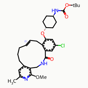 COc1nc(C)cc2c1CNC(=O)c1cc(Cl)cc(O[C@H]3CC[C@H](NC(=O)OC(C)(C)C)CC3)c1C/C=C/CCC2